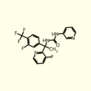 CC(NC(=O)Nc1cccnc1)(c1ccc(C(F)(F)F)c(F)c1)c1ncccc1F